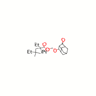 CCC(C)(C)CC(CC)(C(=O)OCOC1C2CC3CC(C2)C(=O)C1C3)C(C)C